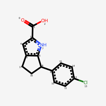 O=C(O)c1cc2c([nH]1)C(c1ccc(Cl)cc1)CC2